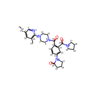 CCc1cnc(N2CCN(C(=O)c3ccc(N4CCCC4=O)cc3C(=O)N3CCCC3)CC2)c(C)c1